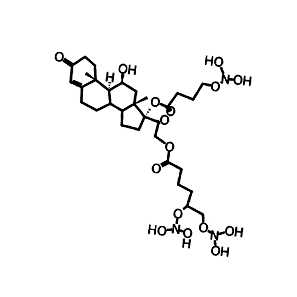 C[C@]12CCC(=O)C=C1CCC1C3CC[C@](OC(=O)CCCON(O)O)(C(=O)COC(=O)CCCC(CON(O)O)ON(O)O)[C@@]3(C)C[C@H](O)[C@@H]12